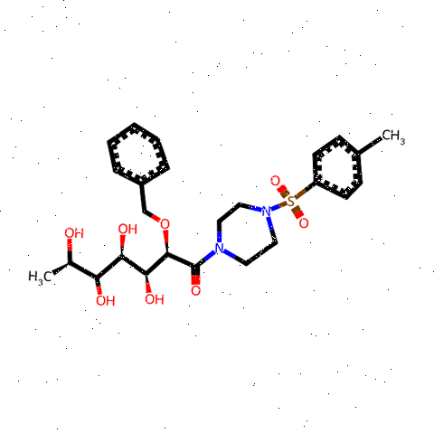 Cc1ccc(S(=O)(=O)N2CCN(C(=O)[C@H](OCc3ccccc3)[C@@H](O)[C@H](O)C(O)[C@@H](C)O)CC2)cc1